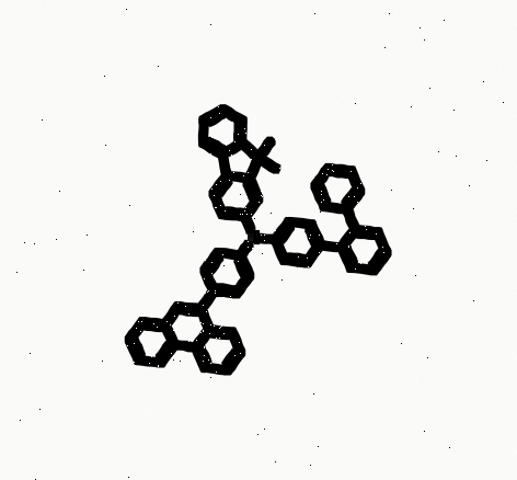 CC1(C)c2ccccc2-c2ccc(N(c3ccc(-c4ccccc4-c4ccccc4)cc3)c3ccc(-c4cc5ccccc5c5ccccc45)cc3)cc21